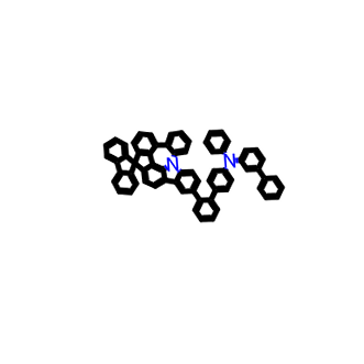 c1ccc(-c2cccc(N(c3ccccc3)c3ccc(-c4ccccc4-c4ccc5c(c4)c4ccc6c7c4n5-c4ccccc4-c4cccc(c4-7)C64c5ccccc5-c5ccccc54)cc3)c2)cc1